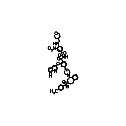 Cc1ccc(S(=O)(=O)N2CCc3ccccc3C(N3CCN(c4ccc(C(=O)NS(=O)(=O)c5ccc(NCC6CCOCC6)c([N+](=O)[O-])c5)c(Oc5cnc6[nH]ccc6c5)c4)CC3)C2)cc1